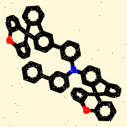 c1ccc(-c2cccc(N(c3cccc(-c4ccc5c(c4)-c4ccccc4C54c5ccccc5Oc5ccccc54)c3)c3ccc4c(c3)C3(c5ccccc5Oc5ccccc53)c3ccccc3-4)c2)cc1